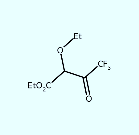 CCOC(=O)C(OCC)C(=O)C(F)(F)F